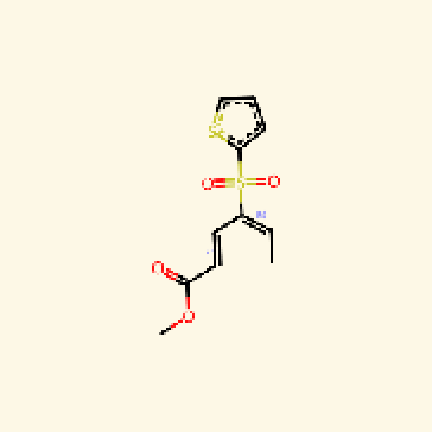 C/C=C(\C=C\C(=O)OC)S(=O)(=O)c1cccs1